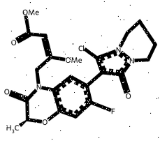 COC(=O)/C=C(\CN1C(=O)[C@H](C)Oc2cc(F)c(-c3c(Cl)n4n(c3=O)CCCC4)cc21)OC